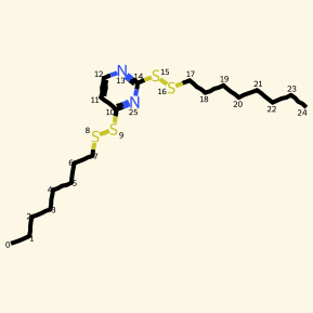 CCCCCCCCSSc1ccnc(SSCCCCCCCC)n1